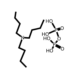 CCCCN(CCCC)CCCC.O=P(O)(O)OP(=O)(O)O